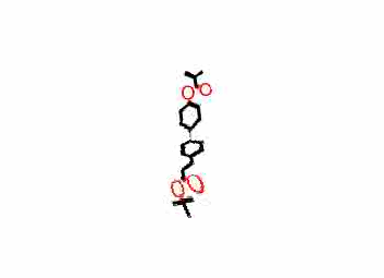 C=C(C)C(=O)OC1CCC([C@H]2C=CC(/C=C/C(=O)OC(C)(C)C)=CC2)CC1